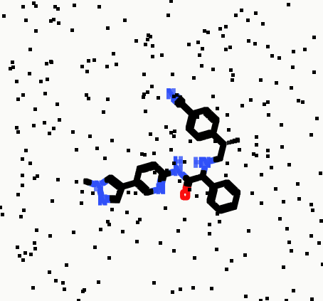 C[C@H](CNC(C(=O)Nc1ccc(-c2cnn(C)c2)cn1)c1ccccc1)c1ccc(C#N)cc1